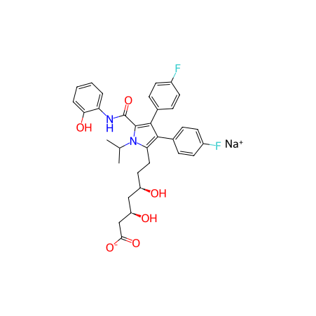 CC(C)n1c(CC[C@@H](O)C[C@@H](O)CC(=O)[O-])c(-c2ccc(F)cc2)c(-c2ccc(F)cc2)c1C(=O)Nc1ccccc1O.[Na+]